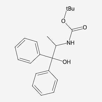 CC(NC(=O)OC(C)(C)C)C(O)(c1ccccc1)c1ccccc1